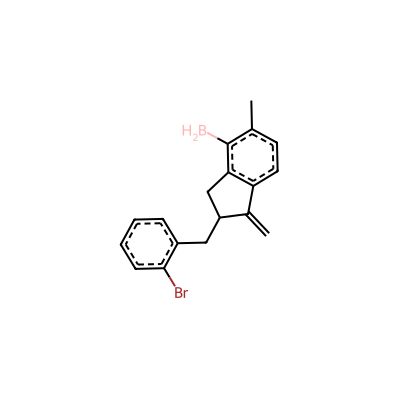 Bc1c(C)ccc2c1CC(Cc1ccccc1Br)C2=C